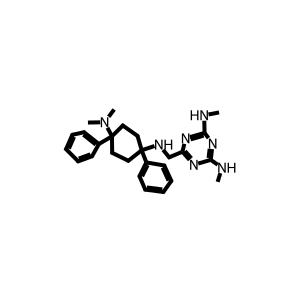 CNc1nc(CNC2(c3ccccc3)CCC(c3ccccc3)(N(C)C)CC2)nc(NC)n1